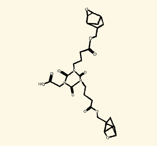 O=C(O)Cn1c(=O)n(CCCC(=O)OCC2CC3CC2C2OC32)c(=O)n(CCCC(=O)OCC2CC3CC24CC3O4)c1=O